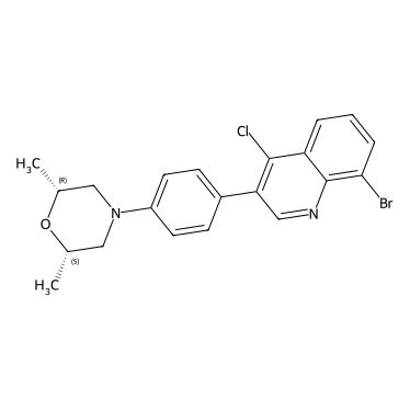 C[C@@H]1CN(c2ccc(-c3cnc4c(Br)cccc4c3Cl)cc2)C[C@H](C)O1